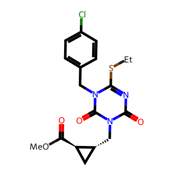 CCSc1nc(=O)n(C[C@@H]2C[C@H]2C(=O)OC)c(=O)n1Cc1ccc(Cl)cc1